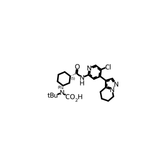 CC(C)(C)N(C(=O)O)[C@@H]1CCC[C@H](C(=O)Nc2cc(-c3cnn4c3CCCC4)c(Cl)cn2)C1